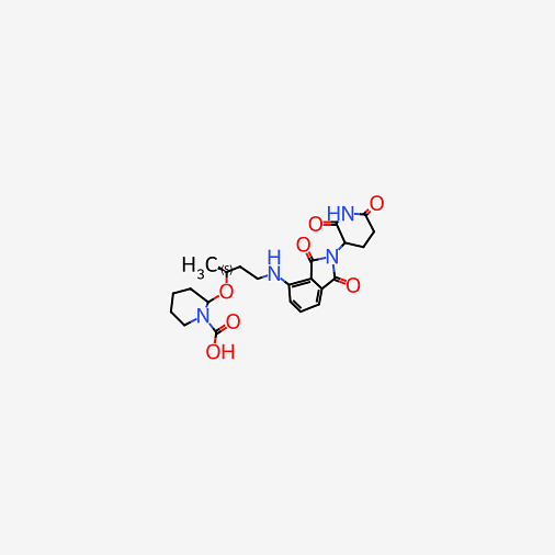 C[C@@H](CCNc1cccc2c1C(=O)N(C1CCC(=O)NC1=O)C2=O)OC1CCCCN1C(=O)O